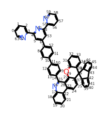 c1ccc(-c2cc(-c3ccc(-c4ccc(-c5nc6ccccc6c6ccc7c(c56)Oc5ccccc5C75c6ccccc6-c6ccccc65)cc4)cc3)cc(-c3ccccn3)n2)nc1